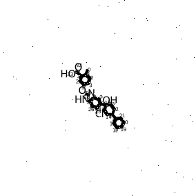 Cc1ccc(Oc2nc3cc(C4(O)C=CC(c5ccccc5)C=C4)c(Cl)cc3[nH]2)cc1C(=O)O